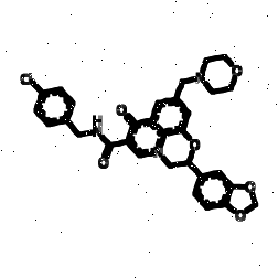 O=C(NCc1ccc(Cl)cc1)c1cn2c3c(cc(CN4CCOCC4)cc3c1=O)OC(c1ccc3c(c1)OCO3)C2